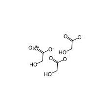 O=C([O-])CO.O=C([O-])CO.O=C([O-])CO.[Os+3]